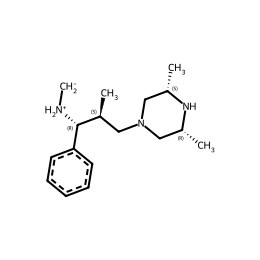 [CH2-][NH2+][C@@H](c1ccccc1)[C@@H](C)CN1C[C@@H](C)N[C@@H](C)C1